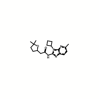 Cc1ccc2nc(NC(=O)CC3CCC(C)(C)O3)n(C3CCC3)c2n1